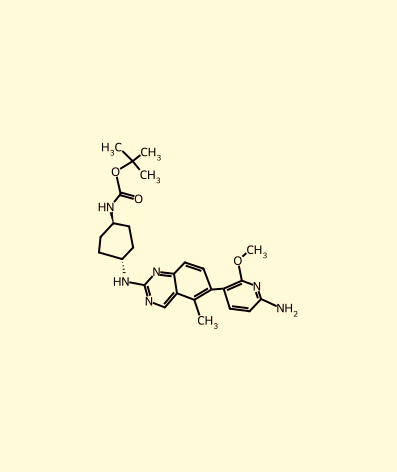 COc1nc(N)ccc1-c1ccc2nc(N[C@H]3CC[C@H](NC(=O)OC(C)(C)C)CC3)ncc2c1C